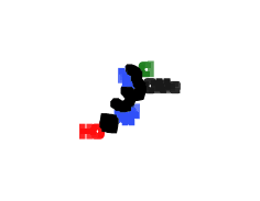 COc1cc(-c2nnn(C3CC(O)C3)c2C)cn2ncc(Cl)c12